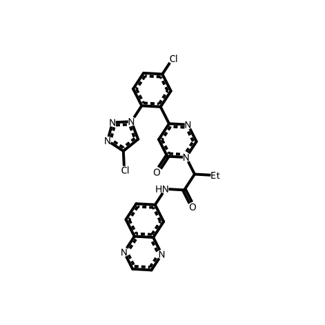 CCC(C(=O)Nc1ccc2nccnc2c1)n1cnc(-c2cc(Cl)ccc2-n2cc(Cl)nn2)cc1=O